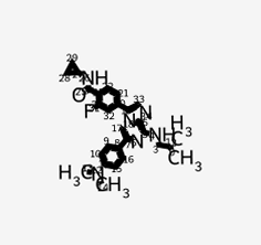 CC(C)CNc1nc(-c2ccc(N(C)C)cc2)cn2c(-c3ccc(C(=O)NC4CC4)c(F)c3)cnc12